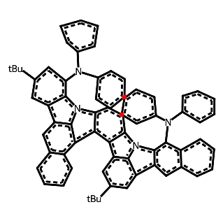 CC(C)(C)c1cc(N(c2ccccc2)c2ccccc2)c2c(c1)c1cc3ccccc3c3c4c5c6cc(C(C)(C)C)cc7c8cc9ccccc9c(N(c9ccccc9)c9ccccc9)c8n(c5ccc4n2c13)c76